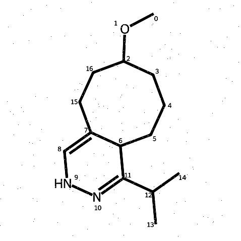 COC1CCCC2C(=CNN=C2C(C)C)CC1